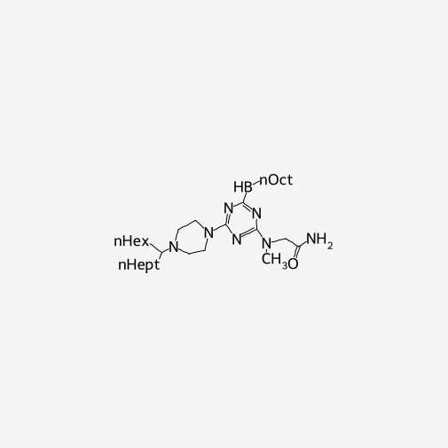 CCCCCCCCBc1nc(N(C)CC(N)=O)nc(N2CCN(C(CCCCCC)CCCCCCC)CC2)n1